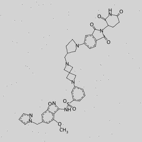 COc1cc(Cn2cccn2)cc2onc(NS(=O)(=O)c3cccc(N4CC5(CN(CC6CCN(c7ccc8c(c7)C(=O)N(C7CCC(=O)NC7=O)C8=O)C6)C5)C4)c3)c12